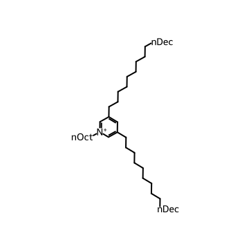 CCCCCCCCCCCCCCCCCCCc1cc(CCCCCCCCCCCCCCCCCCC)c[n+](CCCCCCCC)c1